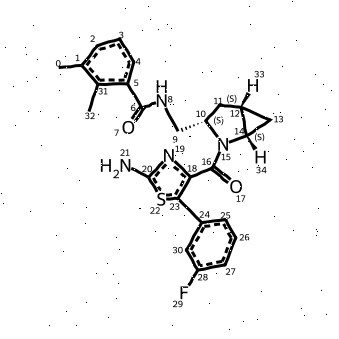 Cc1cccc(C(=O)NC[C@@H]2C[C@@H]3C[C@@H]3N2C(=O)c2nc(N)sc2-c2cccc(F)c2)c1C